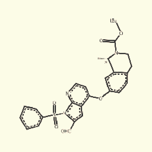 C[C@H]1c2cc(Oc3ccnc4c3cc(C=O)n4S(=O)(=O)c3ccccc3)ccc2CCN1C(=O)OC(C)(C)C